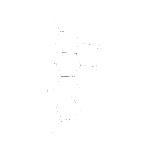 Cc1cc(O)c2c(C)c(Cc3ccc(Cl)cc3)c(C)nc2c1